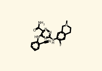 CN1CCc2cc(F)c(Nc3nnc(C(N)=O)c(Nc4ccccc4C#N)n3)cc2C1